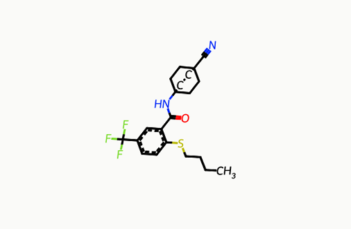 CCCCSc1ccc(C(F)(F)F)cc1C(=O)NC12CCC(C#N)(CC1)CC2